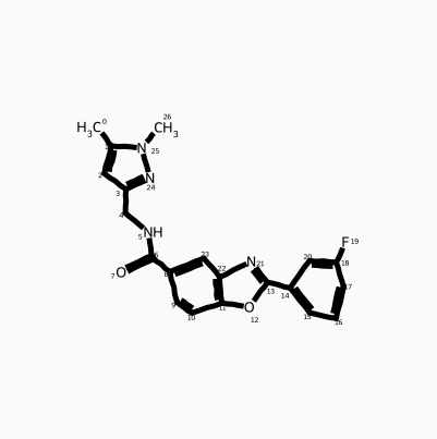 Cc1cc(CNC(=O)c2ccc3oc(-c4cccc(F)c4)nc3c2)nn1C